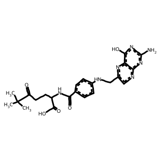 CC(C)(C)C(=O)CCC(NC(=O)c1ccc(NCc2cnc3nc(N)nc(O)c3n2)cc1)C(=O)O